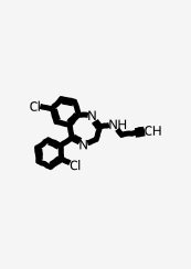 C#CCNC1=Nc2ccc(Cl)cc2C(c2ccccc2Cl)=NC1